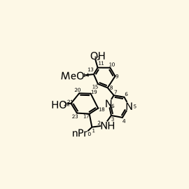 CCCC(Nc1cncc(-c2ccc(O)c(OC)c2)n1)c1cccc(O)c1